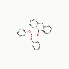 c1ccc(OC(Oc2ccccc2)Oc2c3ccccc3cc3ccccc23)cc1